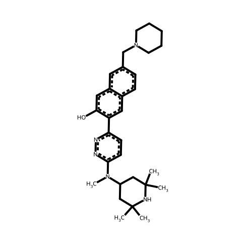 CN(c1ccc(-c2cc3ccc(CN4CCCCC4)cc3cc2O)nn1)C1CC(C)(C)NC(C)(C)C1